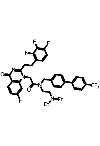 CCN(CC)CCN(Cc1ccc(-c2ccc(C(F)(F)F)cc2)cc1)C(=O)Cn1c(CCc2ccc(F)c(F)c2F)nc(=O)c2ccc(F)cc21